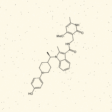 COc1cc(C)[nH]c(=O)c1CNC(=O)c1c(C)n([C@H](C)C2CCN(c3ccc(O)cc3)CC2)c2ccccc12